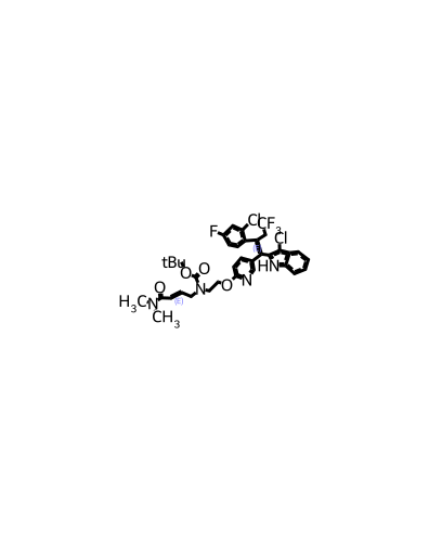 CN(C)C(=O)/C=C/CN(CCOc1ccc(/C(=C(/CC(F)(F)F)c2ccc(F)cc2Cl)c2[nH]c3ccccc3c2Cl)cn1)C(=O)OC(C)(C)C